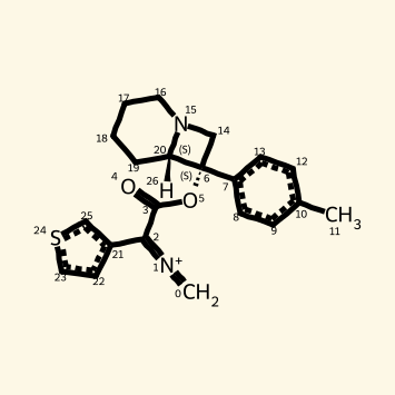 C=[N+]=C(C(=O)O[C@@]1(c2ccc(C)cc2)CN2CCCC[C@H]21)c1ccsc1